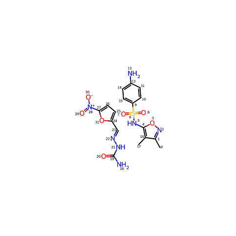 Cc1noc(NS(=O)(=O)c2ccc(N)cc2)c1C.NC(=O)N/N=C/c1ccc([N+](=O)[O-])o1